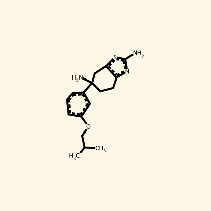 CC(C)COc1cccc(C2(N)CCc3nc(N)sc3C2)c1